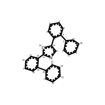 c1ccc(-c2ccccc2-c2cnc(-c3ccccc3-c3ccccc3)o2)cc1